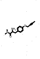 CC#CCOc1ccc(CC(N)C(=O)N(C)C)cc1